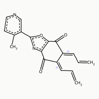 C=C/C=C1/C(=O)c2nc(-c3cnccc3C)oc2C(=O)/C1=C/C=C